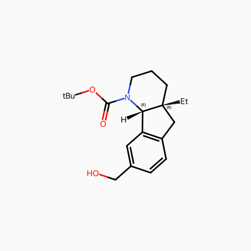 CC[C@]12CCCN(C(=O)OC(C)(C)C)[C@H]1c1cc(CO)ccc1C2